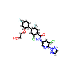 O=C(Nc1cnc(-n2nccn2)c(Cl)c1)c1cc(F)c(-c2ccc(F)cc2OCCO)cc1Cl